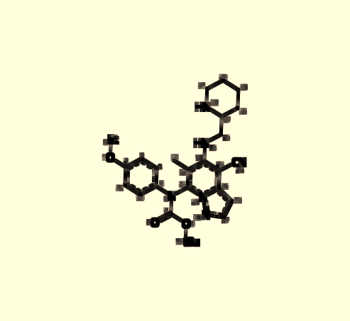 CCOc1ccc(N(C(=O)OC(C)(C)C)c2c(C)c(NCC3CCCCN3)c(C#N)c3ccnn23)cc1